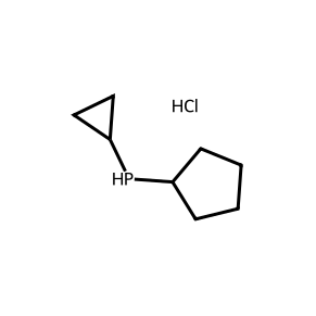 C1CCC(PC2CC2)C1.Cl